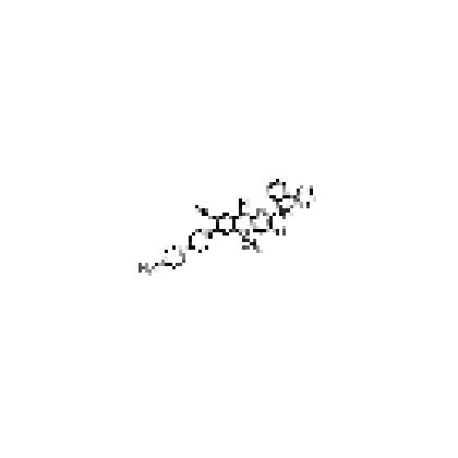 COc1cc(N2CCC(N3CCN(C)CC3)CC2)c(C#N)cc1Nc1ncc(Cl)c(Nc2ccccc2P(C)(C)=O)n1